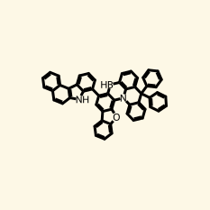 B1c2cccc3c2N(c2ccccc2C3(c2ccccc2)c2ccccc2)c2c1c(-c1cccc3c1[nH]c1ccc4ccccc4c13)cc1c2oc2ccccc21